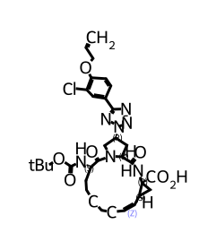 C=CCOc1ccc(-c2nnn([C@@H]3C[C@H]4C(=O)N[C@]5(C(=O)O)C[C@H]5/C=C\CCCCC[C@H](NC(=O)OC(C)(C)C)C(=O)N4C3)n2)cc1Cl